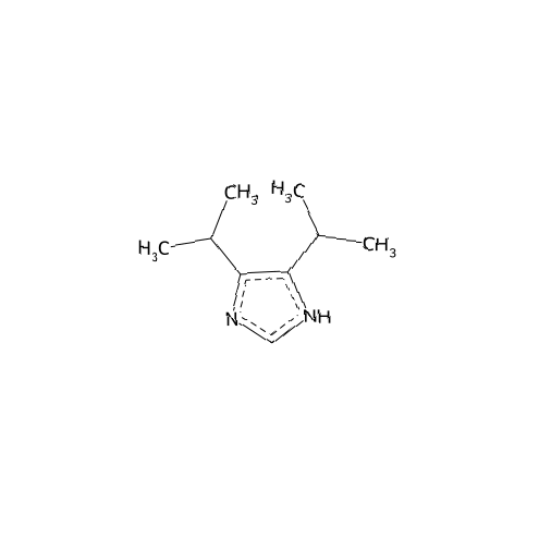 CC(C)c1nc[nH]c1C(C)C